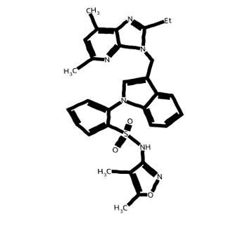 CCc1nc2c(C)cc(C)nc2n1Cc1cn(-c2ccccc2S(=O)(=O)Nc2noc(C)c2C)c2ccccc12